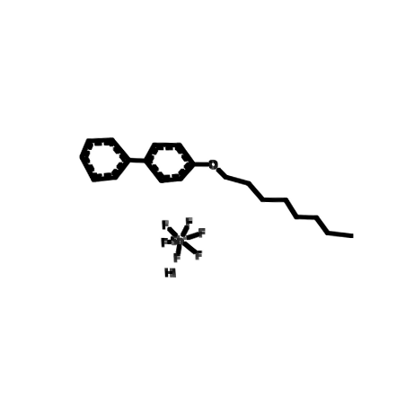 CCCCCCCCOc1ccc(-c2ccccc2)cc1.I.[F][Sb-]([F])([F])([F])([F])[F]